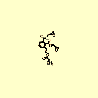 C=CC(=O)OCCc1cccc(C(=O)OCC2CO2)c1C(=O)OCC1CO1